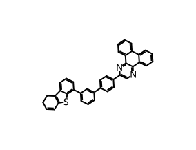 C1=Cc2sc3c(-c4cccc(-c5ccc(-c6cnc7c8ccccc8c8ccccc8c7n6)cc5)c4)cccc3c2CC1